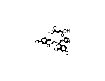 Clc1ccc(CSCSC(Cn2ccnc2)c2ccc(Cl)cc2Cl)c(Cl)c1.O=C(O)C=CC(=O)O